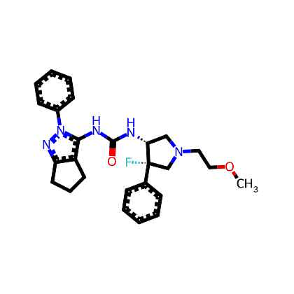 COCCN1C[C@@H](NC(=O)Nc2c3c(nn2-c2ccccc2)CCC3)[C@](F)(c2ccccc2)C1